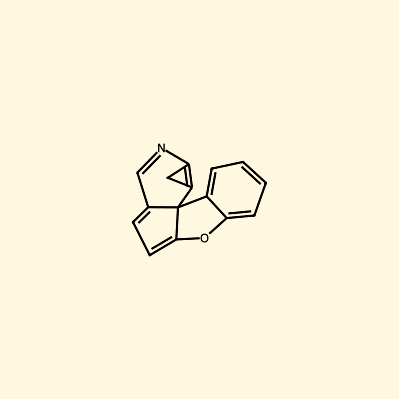 C1=NC2=C(C2)C23C1=CC=C2Oc1ccccc13